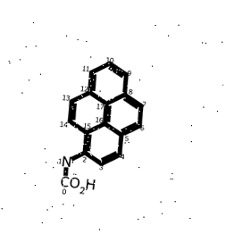 O=C(O)[N]c1ccc2ccc3cccc4ccc1c2c34